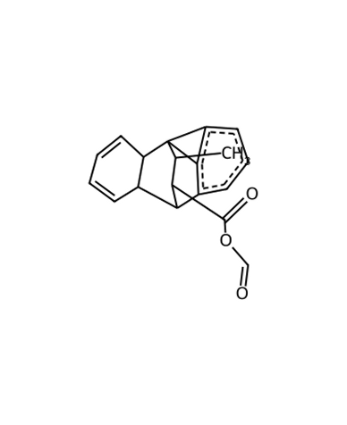 CC1C(C(=O)OC=O)C2c3cccc4c3C41C1C=CC=CC21